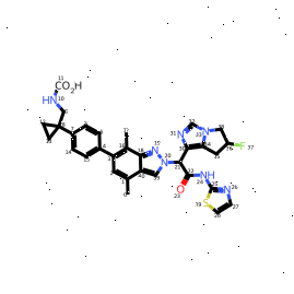 Cc1cc(-c2ccc(C3(CNC(=O)O)CC3)cc2)c(C)c2nn(C(C(=O)Nc3nccs3)c3ncn4c3CC(F)C4)cc12